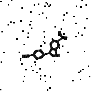 N#Cc1ccc(-c2c[nH]c3cc([N+](=O)[O-])ccc23)cc1